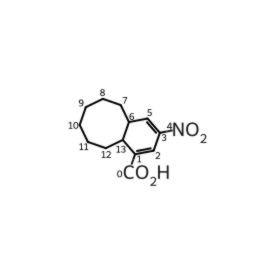 O=C(O)C1=CC([N+](=O)[O-])=CC2CCCCCCC12